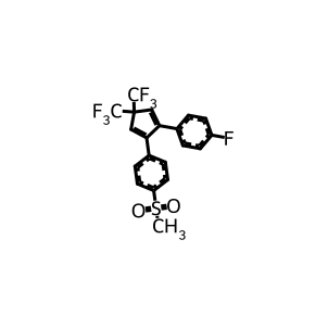 CS(=O)(=O)c1ccc(C2=CC(C(F)(F)F)(C(F)(F)F)C=C2c2ccc(F)cc2)cc1